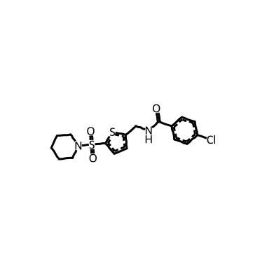 O=C(NCc1ccc(S(=O)(=O)N2CCCCC2)s1)c1ccc(Cl)cc1